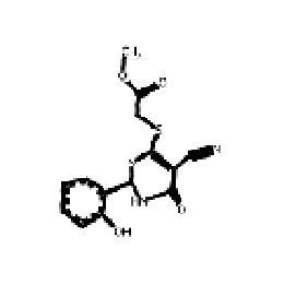 COC(=O)CSC1=C(C#N)C(=O)NC(c2ccccc2O)S1